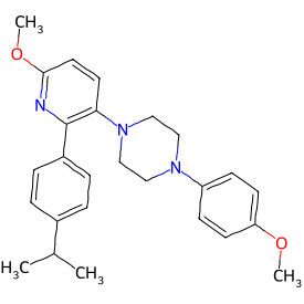 COc1ccc(N2CCN(c3ccc(OC)nc3-c3ccc(C(C)C)cc3)CC2)cc1